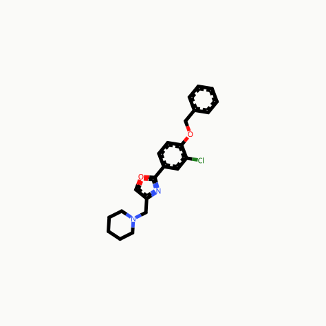 Clc1cc(-c2nc(CN3CCCCC3)co2)ccc1OCc1ccccc1